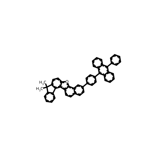 CC1(C)c2ccccc2-c2c1ccc1oc3c4cc(-c5ccc(-c6c7ccccc7c(-c7ccccc7)c7ccccc67)cc5)ccc4ccc3c21